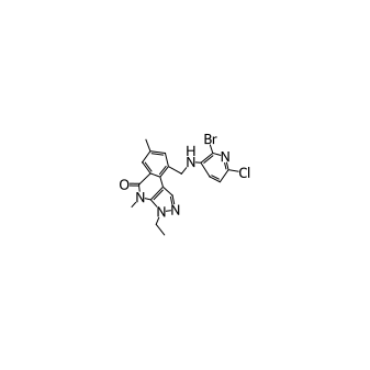 CCn1ncc2c3c(CNc4ccc(Cl)nc4Br)cc(C)cc3c(=O)n(C)c21